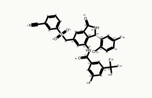 N#Cc1cccc(S(=O)(=O)Cc2cc(NC(=O)c3cc(F)cc(C(F)(F)F)c3)c3c(c2)C(=O)N[C@@H]3c2cc(F)ccc2Cl)c1